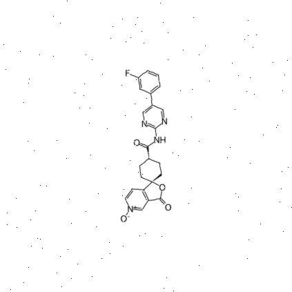 O=C1O[C@]2(CC[C@H](C(=O)Nc3ncc(-c4cccc(F)c4)cn3)CC2)c2cc[n+]([O-])cc21